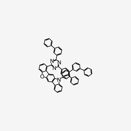 c1ccc(-c2ccc(-c3nc(-c4cccc(-c5ccccc5)c4)nc(-c4cccc5oc6cc7c8ccccc8n(-c8ccc(-c9cccc(-c%10ccccc%10)c9)cc8)c7cc6c45)n3)cc2)cc1